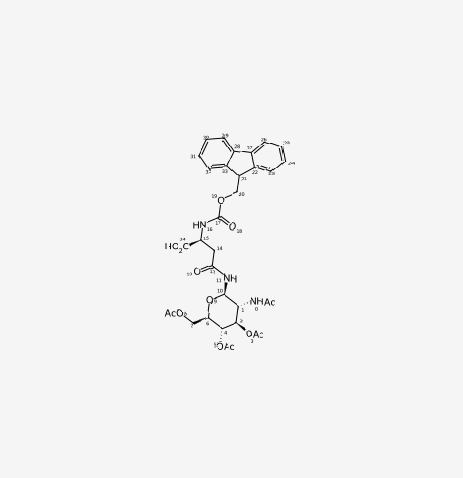 CC(=O)N[C@@H]1[C@@H](OC(C)=O)[C@H](OC(C)=O)[C@@H](COC(C)=O)O[C@H]1NC(=O)C[C@H](NC(=O)OCC1c2ccccc2-c2ccccc21)C(=O)O